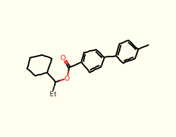 CCC(OC(=O)c1ccc(-c2ccc(C)cc2)cc1)C1CCCCC1